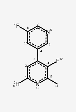 [2H]c1cc(-c2cncc(F)c2)c(F)c(C)n1